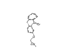 CCOc1ccc2c(c1)[S+]([O-])c1ccccc1C2